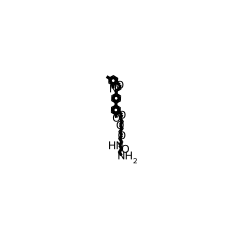 Cc1ccc2c(c1)N=C(c1ccc(-c3ccc4c(c3)OC(COCCOCCNC(=O)CN)O4)cc1)CO2